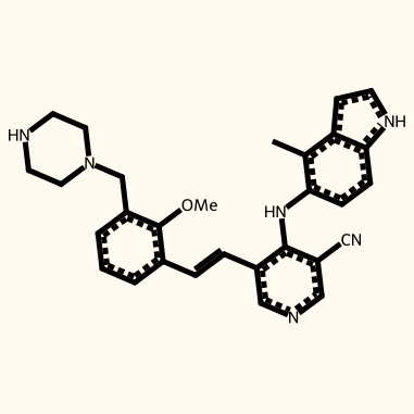 COc1c(/C=C/c2cncc(C#N)c2Nc2ccc3[nH]ccc3c2C)cccc1CN1CCNCC1